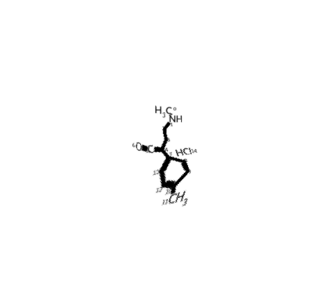 CNCCC(=C=O)c1ccc(C)cc1.Cl